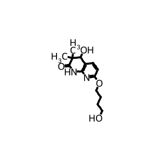 CC1(C)C(=O)Nc2nc(OCCCCO)ccc2C1O